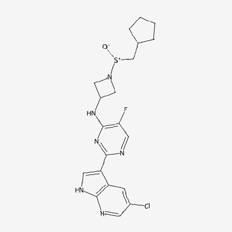 [O-][S+](CC1CCCC1)N1CC(Nc2nc(-c3c[nH]c4ncc(Cl)cc34)ncc2F)C1